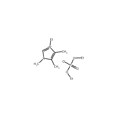 CCOP(=O)([O-])OCC.CC[n+]1cn(C)c(C)c1C